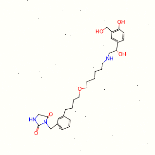 O=C1CNC(=O)N1Cc1cccc(CCCCOCCCCCCNC[C@@H](O)c2ccc(O)c(CO)c2)c1